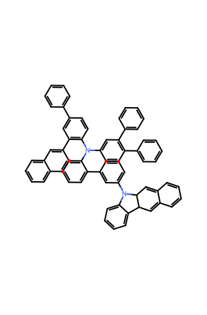 C1=c2ccccc2=CC2C1c1ccccc1N2c1cccc(-c2ccccc2N(c2ccc(-c3ccccc3)c(-c3ccccc3)c2)c2ccc(-c3ccccc3)cc2-c2ccc3ccccc3c2)c1